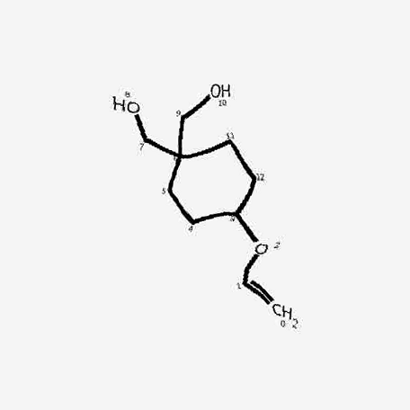 C=COC1CCC(CO)(CO)CC1